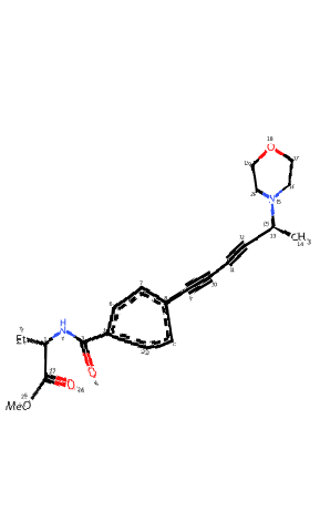 CCC(NC(=O)c1ccc(C#CC#C[C@H](C)N2CCOCC2)cc1)C(=O)OC